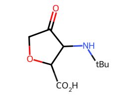 CC(C)(C)NC1C(=O)COC1C(=O)O